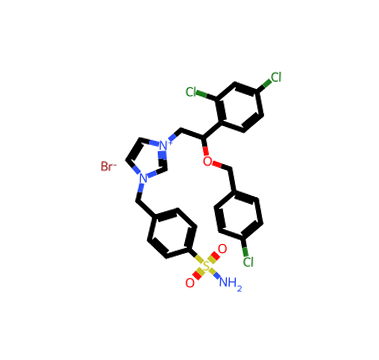 NS(=O)(=O)c1ccc(Cn2cc[n+](CC(OCc3ccc(Cl)cc3)c3ccc(Cl)cc3Cl)c2)cc1.[Br-]